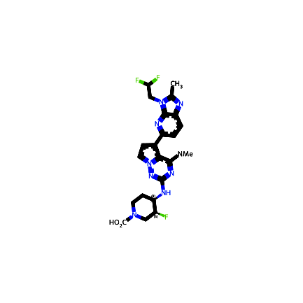 CNc1nc(N[C@@H]2CCN(C(=O)O)C[C@@H]2F)nn2ccc(-c3ccc4nc(C)n(CC(F)F)c4n3)c12